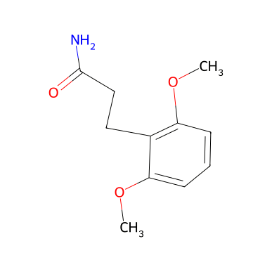 COc1cccc(OC)c1CCC(N)=O